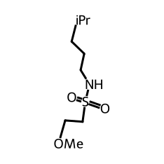 COCCS(=O)(=O)NCCCC(C)C